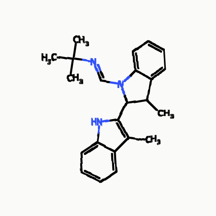 Cc1c(C2C(C)c3ccccc3N2/C=N/C(C)(C)C)[nH]c2ccccc12